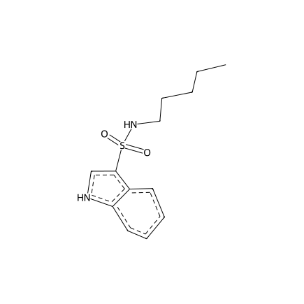 CCCCCNS(=O)(=O)c1c[nH]c2ccccc12